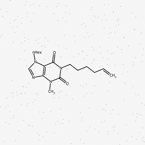 C=CCCCCn1c(=O)c2c(ncn2CCCCCC)n(C)c1=O